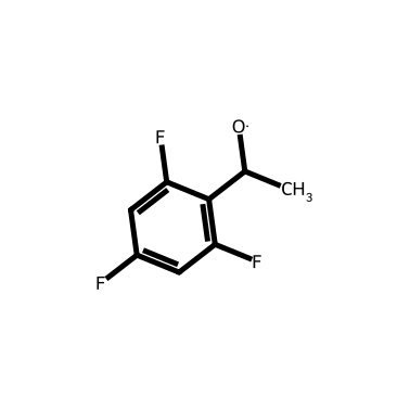 CC([O])c1c(F)cc(F)cc1F